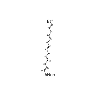 CCC=CCC=CCC=CCC=CCC=CCCCCCCCCC